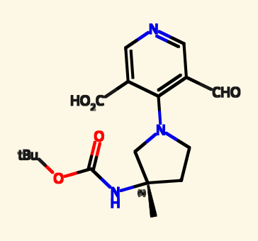 CC(C)(C)OC(=O)N[C@@]1(C)CCN(c2c(C=O)cncc2C(=O)O)C1